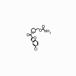 NC(=O)OCC1CCN(C(=O)c2cc3cc(Cl)ccc3o2)C1